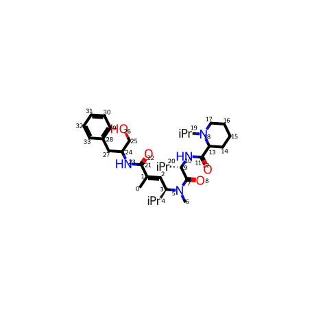 C/C(=C\[C@H](C(C)C)N(C)C(=O)[C@@H](NC(=O)C1CCCCN1C(C)C)C(C)C)C(=O)NC(CO)Cc1ccccc1